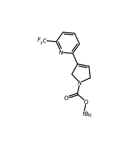 CC(C)(C)OC(=O)N1CC=C(c2cccc(C(F)(F)F)n2)C1